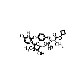 CC(C(=O)OC1CCC1)N(Oc1ccccc1)[PH](=O)OC[C@H]1O[C@@H](n2ccc(=O)[nH]c2=O)[C@](C)(F)[C@@H]1O